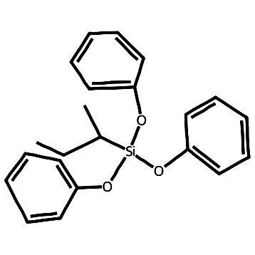 CCC(C)[Si](Oc1ccccc1)(Oc1ccccc1)Oc1ccccc1